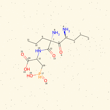 CCC[C@H](N)C(=O)[C@](N)(CCC)C(=O)NC(C[PH](=O)O)C(=O)O